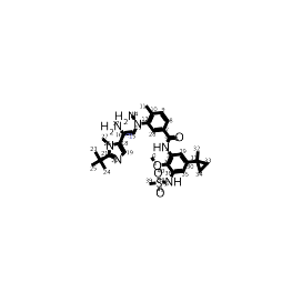 COc1c(NC(=O)c2ccc(C)c(N(N)/C=C(\N)c3cnc(C(C)(C)C)n3C)c2)cc(C2(C)CC2)cc1NS(C)(=O)=O